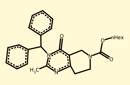 CCCCCCOC(=O)N1CCc2nc(C)n(C(c3ccccc3)c3ccccc3)c(=O)c2C1